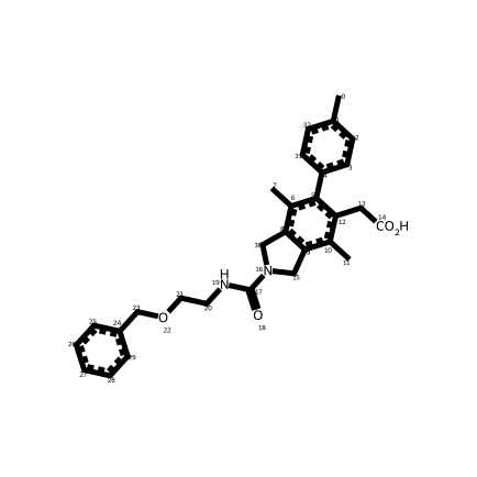 Cc1ccc(-c2c(C)c3c(c(C)c2CC(=O)O)CN(C(=O)NCCOCc2ccccc2)C3)cc1